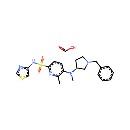 Cc1nc(S(=O)(=O)Nc2cscn2)ccc1N(C)[C@H]1CCN(Cc2ccccc2)C1.O=CO